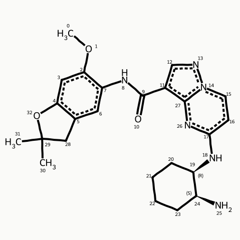 COc1cc2c(cc1NC(=O)c1cnn3ccc(N[C@@H]4CCCC[C@@H]4N)nc13)CC(C)(C)O2